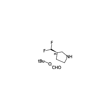 CC(C)(C)OC=O.FC(F)[C@@H]1CCNC1